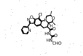 C[C@@H]1CN2c3c(cc4c(-c5ccccn5)noc4c3Cl)CC(C(=O)NC(=O)NC=O)[C@H]2[C@H](C)O1